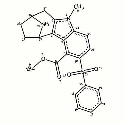 Cn1c2c(c3c(C(=O)OC(C)(C)C)c(S(=O)(=O)c4ccccc4)ccc31)C1CCC(C2)N1